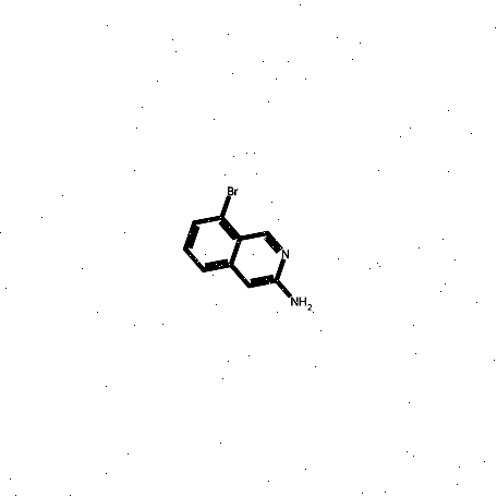 Nc1cc2cccc(Br)c2cn1